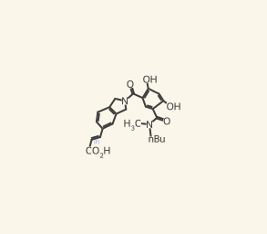 CCCCN(C)C(=O)c1cc(C(=O)N2Cc3ccc(/C=C/C(=O)O)cc3C2)c(O)cc1O